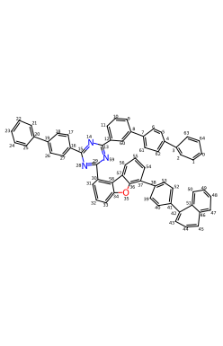 c1ccc(-c2ccc(-c3cccc(-c4nc(-c5ccc(-c6ccccc6)cc5)nc(-c5cccc6oc7c(-c8ccc(-c9cccc%10ccccc9%10)cc8)cccc7c56)n4)c3)cc2)cc1